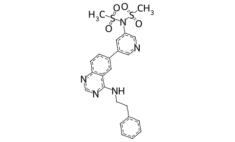 CS(=O)(=O)N(c1cncc(-c2ccc3ncnc(NCCc4ccccc4)c3c2)c1)S(C)(=O)=O